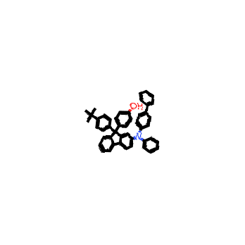 CC(C)(C)c1ccc(C2(c3ccc(O)cc3)c3ccccc3-c3ccc(N(c4ccccc4)c4ccc(-c5ccccc5)cc4)cc32)cc1